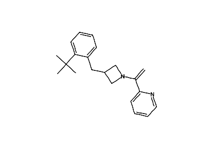 C=C(c1ccccn1)N1CC(Cc2ccccc2C(C)(C)C)C1